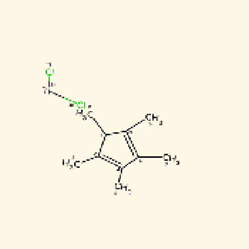 C[C]1C(C)=C(C)C(C)=C1C.[Cl][Ti][Cl]